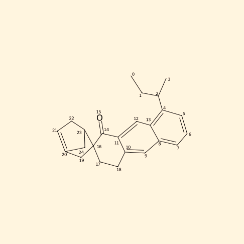 CCC(C)c1cccc2cc3c(cc12)C(=O)C1(CC3)CC2=CCC1C2